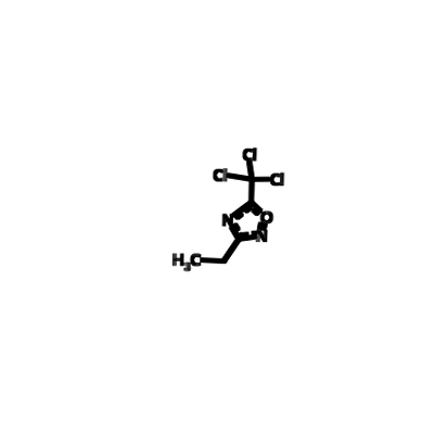 CCc1noc(C(Cl)(Cl)Cl)n1